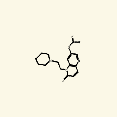 O=c1ccc2ncc(OC(F)F)cc2n1CCN1CC[CH]CC1